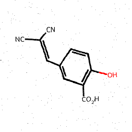 N#CC(C#N)=Cc1ccc(O)c(C(=O)O)c1